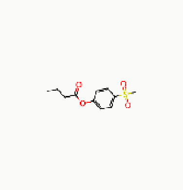 CCCC(=O)Oc1ccc(S(C)(=O)=O)cc1